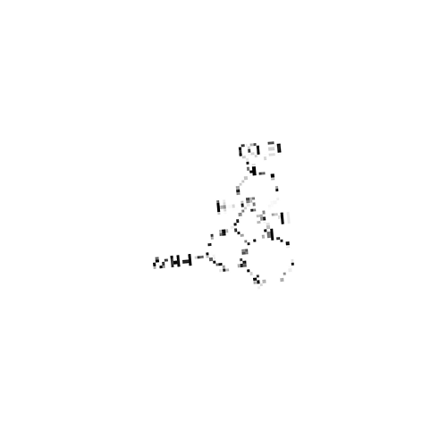 CCOC(=O)N1CC[C@@H]2[C@H](C1)c1cc(NC(C)=O)cc3c1N2CCCS3